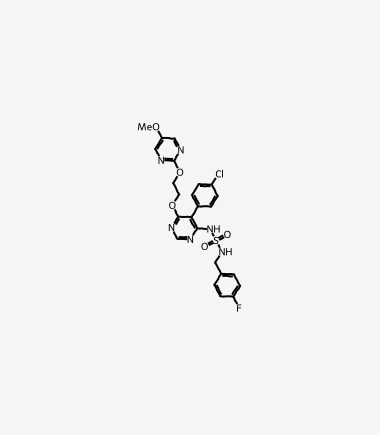 COc1cnc(OCCOc2ncnc(NS(=O)(=O)NCc3ccc(F)cc3)c2-c2ccc(Cl)cc2)nc1